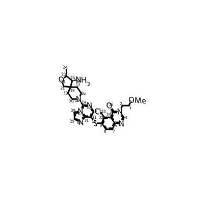 COCCn1cnc2ccc(Sc3cnc(N4CCC5(CC4)CO[C@@H](C)[C@H]5N)n4ccnc34)c(Cl)c2c1=O